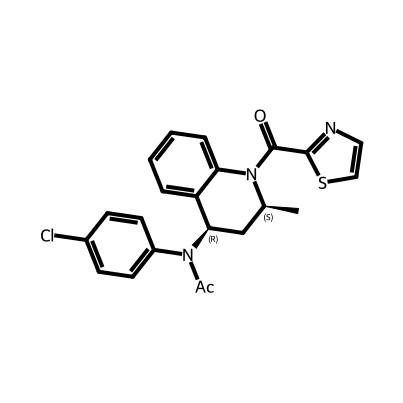 CC(=O)N(c1ccc(Cl)cc1)[C@@H]1C[C@H](C)N(C(=O)c2nccs2)c2ccccc21